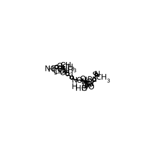 Cc1ncsc1-c1ccc(CNC(=O)[C@@H]2C[C@@H](O)CN2C(=O)[C@@H](NC(=O)COCCNc2ccc(-c3ccc(C(=O)NC4C(C)(C)C(Oc5ccc(C#N)c(Cl)c5)C4(C)C)cc3)cc2)C(C)(C)C)cc1